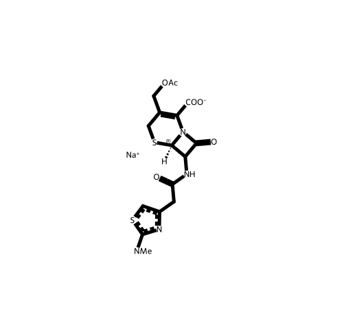 CNc1nc(CC(=O)NC2C(=O)N3C(C(=O)[O-])=C(COC(C)=O)CS[C@H]23)cs1.[Na+]